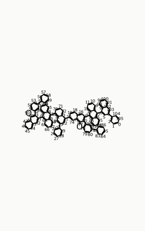 c1ccc(-c2cc(-c3c4ccccc4c(-c4cc5ccc(-c6cc(-c7ccccc7)cc7c(-c8c9ccccc9c(-c9cc%10ccccc%10c%10oc%11ccc(-c%12ccccc%12)cc%11c9%10)c9ccccc89)cccc67)cc5c5oc6ccc(-c7ccccc7)cc6c45)c4ccccc34)c3ccccc3c2)cc1